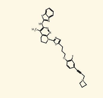 Cc1c(Nc2nc3ccccc3s2)nnc2c1CCCN2c1ncc(CCCOc2ccc(C#CCN3CCC3)cc2F)s1